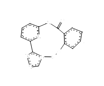 O=C1Nc2cccc(n2)-c2nncn2BOc2ccccc21